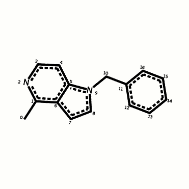 Cc1nccc2c1ccn2Cc1ccccc1